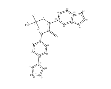 CC(C)(S)CN(C(=O)Oc1ccc(-c2nn[nH]n2)cc1)c1ccc2ncsc2c1